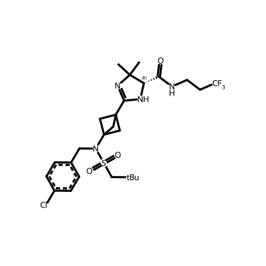 CC(C)(C)CS(=O)(=O)N(Cc1ccc(Cl)cc1)C12CC(C3=NC(C)(C)[C@H](C(=O)NCCC(F)(F)F)N3)(C1)C2